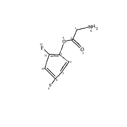 NCC(=O)Oc1ccc(F)cc1F